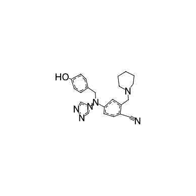 N#Cc1ccc(N(Cc2ccc(O)cc2)n2cnnc2)cc1CN1CCCCC1